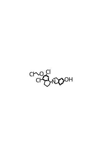 Oc1ccc2c(c1)CCN(C1CCCc3c1cc(Cl)c(OCCCl)c3Cl)C2